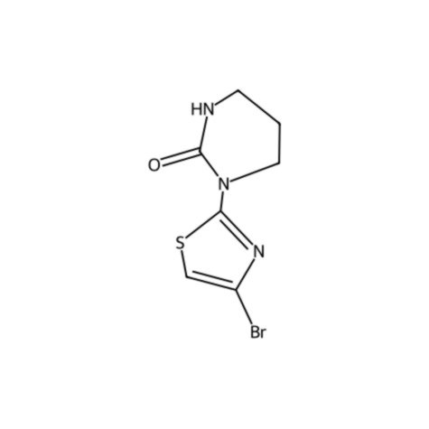 O=C1NCCCN1c1nc(Br)cs1